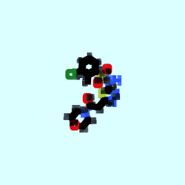 Cc1c(Cl)cccc1S(=O)(=O)Nc1nnc(CC(=O)N2CCOCC2)s1